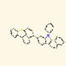 c1ccc(-n2c3cc(-c4ccc5c6c(cccc46)-c4ccccc4S5)ccc3c3ccc4ccccc4c32)cc1